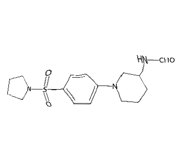 O=CNC1CCCN(c2ccc(S(=O)(=O)N3CCCC3)cc2)C1